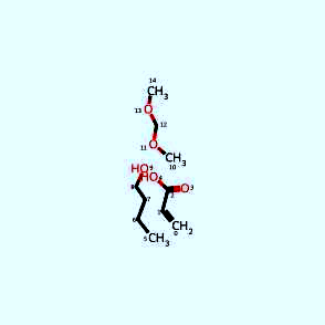 C=CC(=O)O.CCCCO.COCOC